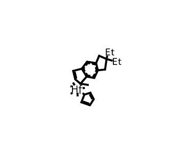 CCC1(CC)Cc2cc3c(cc2C1)[C](C)([Hf]([CH3])([CH3])([CH3])([CH3])([CH3])[CH]1C=CC=C1)C=C3